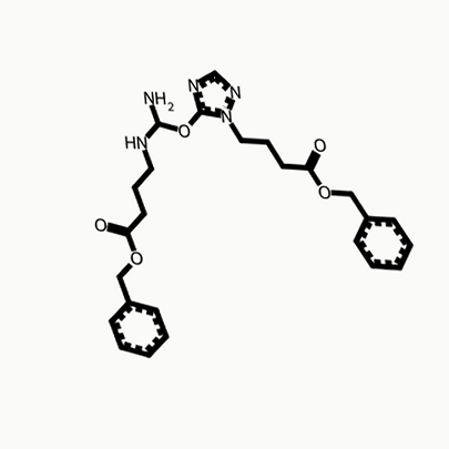 NC(NCCCC(=O)OCc1ccccc1)Oc1ncnn1CCCC(=O)OCc1ccccc1